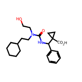 O=C(NC(c1ccccc1)C1(C(=O)O)CC1)N(CCO)CCC1CCCCC1